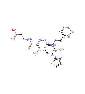 O=C(O)CCNC(=O)c1ncc2c(cc(-c3nccs3)c(=O)n2CCc2ccccc2)c1O